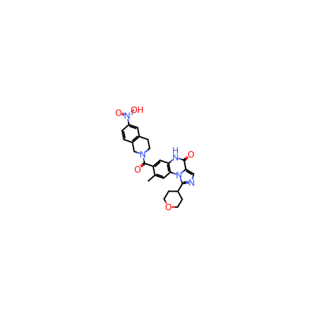 Cc1cc2c(cc1C(=O)N1CCc3cc([N+](=O)O)ccc3C1)[nH]c(=O)c1cnc(C3CCOCC3)n12